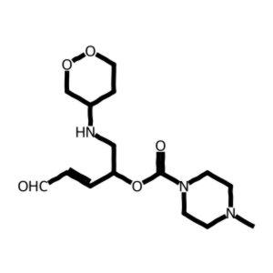 CN1CCN(C(=O)OC(C=CC=O)CNC2CCOOC2)CC1